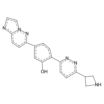 Oc1cc(-c2ccc3nccn3n2)ccc1-c1ccc(C2CNC2)nn1